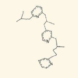 CC(C)Cc1cccc(CC(C)Cc2ccnc(CC(C)CCc3ccccn3)c2)n1